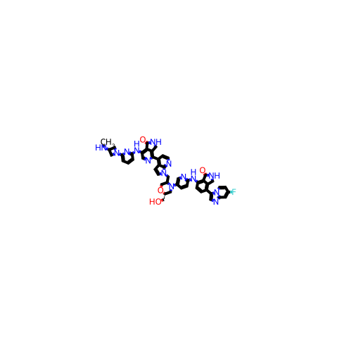 CNC1CN(c2cccc(Nc3cnc(-c4ccnc5c4ccn5CC4CO[C@@H](CO)CN4c4ccc(Nc5ccc(-c6cnc7cc(F)ccn67)c6c5C(=O)NC6)nc4)c4c3C(=O)NC4)n2)C1